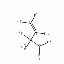 FC(F)=C(F)C(F)(C(F)F)C(F)(F)F